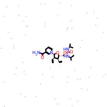 C=C[C@@H]1[C@H](C=C)[C@@H](COP(=O)(NC(C)C)NC(C)C)O[C@H]1N1C=CCC(C(N)=O)=C1